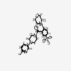 Cc1ccc(N2CCN(C(=O)c3cc(S(C)(=O)=O)ccc3N3CCOCC3)CC2)cn1